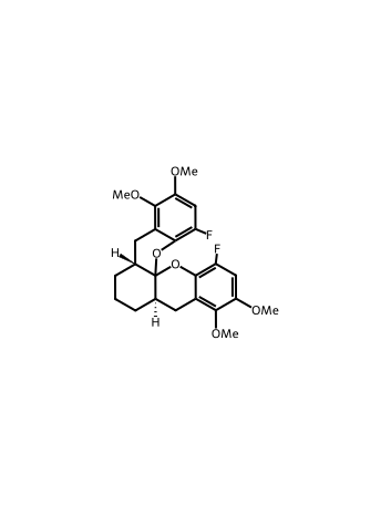 COc1cc(F)c2c(c1OC)C[C@H]1CCC[C@@H]3Cc4c(c(F)cc(OC)c4OC)OC13O2